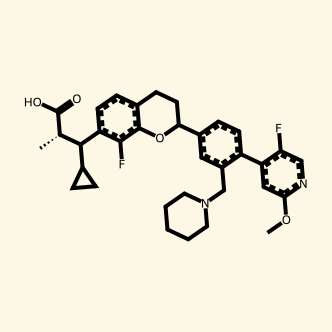 COc1cc(-c2ccc(C3CCc4ccc(C(C5CC5)[C@H](C)C(=O)O)c(F)c4O3)cc2CN2CCCCC2)c(F)cn1